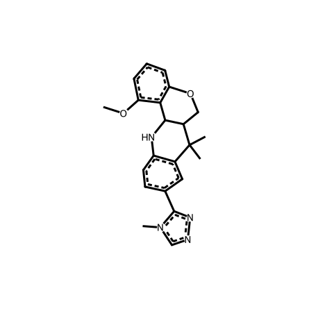 COc1cccc2c1C1Nc3ccc(-c4nncn4C)cc3C(C)(C)C1CO2